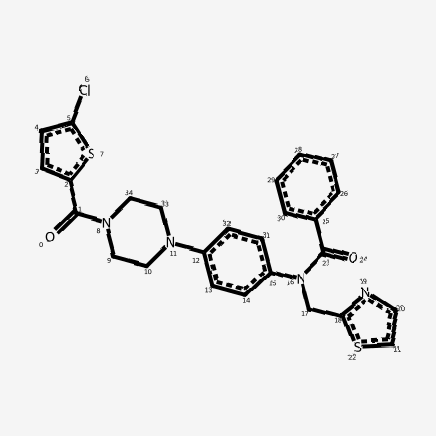 O=C(c1ccc(Cl)s1)N1CCN(c2ccc(N(Cc3nccs3)C(=O)c3ccccc3)cc2)CC1